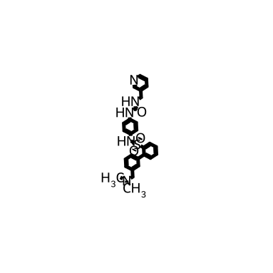 CN(C)Cc1cccc(-c2ccccc2S(=O)(=O)Nc2ccc(NC(=O)NCc3cccnc3)cc2)c1